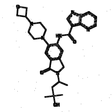 CC(CC(C)(C)O)N1Cc2cc(NC(=O)c3cnn4cccnc34)c(N3CCN(C4COC4)CC3)cc2C1=O